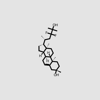 C[C@H](CC(F)(F)C(C)(C)O)[C@H]1CC[C@H]2[C@@H]3CC=C4C[C@@](C)(O)CC[C@]4(C)[C@H]3CC[C@]12C